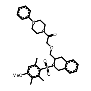 COc1cc(C)c(S(=O)(=O)N2Cc3ccccc3CC2COCC(=O)N2CCN(c3ccccc3)CC2)c(C)c1C